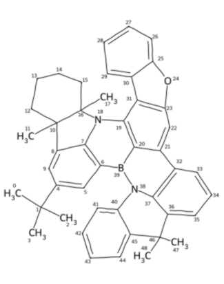 CC(C)(C)c1cc2c3c(c1)C1(C)CCCCC1(C)N3c1c3c(cc4oc5ccccc5c14)-c1cccc4c1N(B23)c1ccccc1C4(C)C